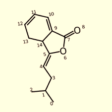 CC(C)C/C=C1\OC(=O)C2=CC=CCC21